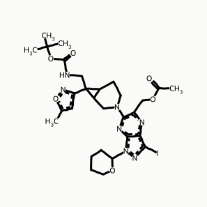 CC(=O)OCc1nc2c(I)nn(C3CCCCO3)c2nc1N1CCC2C(C1)C2(CNC(=O)OC(C)(C)C)c1cc(C)on1